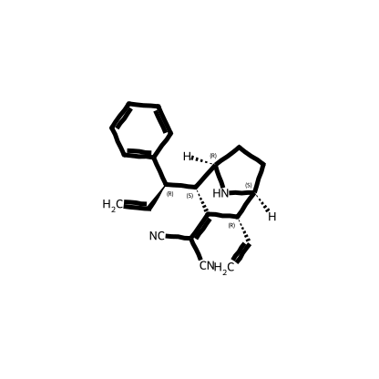 C=C[C@@H]1C(=C(C#N)C#N)[C@H]([C@@H](C=C)c2ccccc2)[C@H]2CC[C@@H]1N2